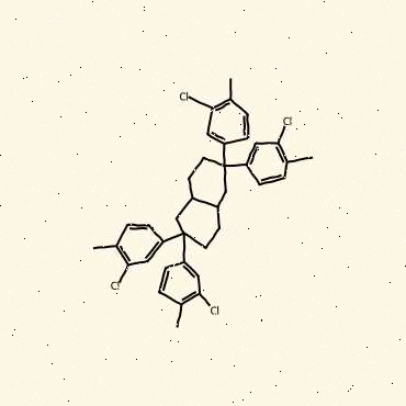 Cc1ccc(C2(c3ccc(C)c(Cl)c3)CCC3CC(c4ccc(C)c(Cl)c4)(c4ccc(C)c(Cl)c4)CCC3C2)cc1Cl